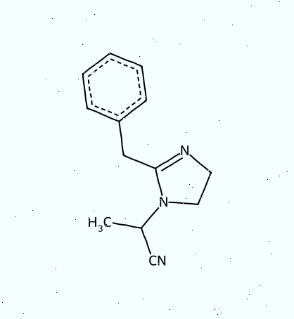 CC(C#N)N1CCN=C1Cc1ccccc1